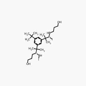 CC(C)(C)c1cc(C(C)(C)P(I)BCCCO)cc(C(C)(C)P(BI)CCCO)c1